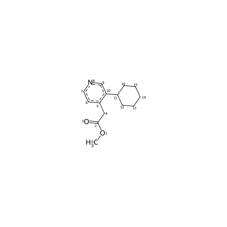 COC(=O)Cc1ccn[c]c1C1CCCCC1